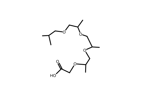 CC(C)COCC(C)OCC(C)OCC(C)OCC(=O)O